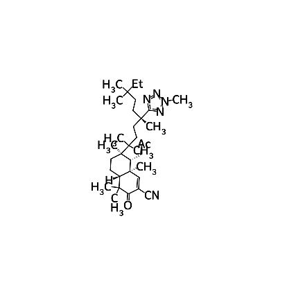 CCC(C)(C)CC[C@@](C)(CCC(C)(C)[C@]1(C)CC[C@H]2C(C)(C)C(=O)C(C#N)=C[C@]2(C)[C@H]1CC(C)=O)c1nnn(C)n1